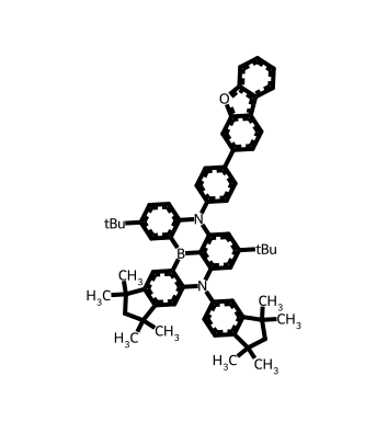 CC(C)(C)c1ccc2c(c1)B1c3cc4c(cc3N(c3ccc5c(c3)C(C)(C)CC5(C)C)c3cc(C(C)(C)C)cc(c31)N2c1ccc(-c2ccc3c(c2)oc2ccccc23)cc1)C(C)(C)CC4(C)C